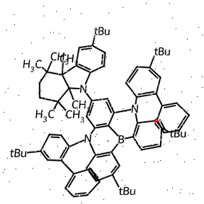 CC(C)(C)c1ccc2c(c1)B1c3ccc(C(C)(C)C)cc3N(c3ccc(C(C)(C)C)cc3-c3ccccc3)c3cc(N4c5ccc(C(C)(C)C)cc5C5(C)C(C)(C)CCC(C)(C)C45C)cc(c31)N2c1ccc(C(C)(C)C)cc1-c1ccccc1